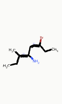 CC/C(C)=C(N)/C=C(/Br)CC